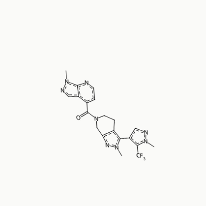 Cn1nc2c(c1-c1cnn(C)c1C(F)(F)F)CCN(C(=O)c1ccnc3c1cnn3C)C2